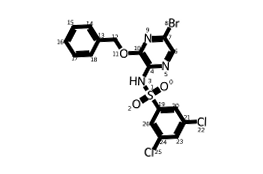 O=S(=O)(Nc1ncc(Br)nc1OCc1ccccc1)c1cc(Cl)cc(Cl)c1